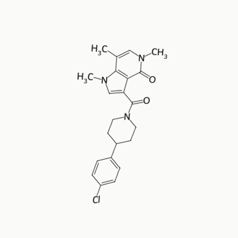 Cc1cn(C)c(=O)c2c(C(=O)N3CCC(c4ccc(Cl)cc4)CC3)cn(C)c12